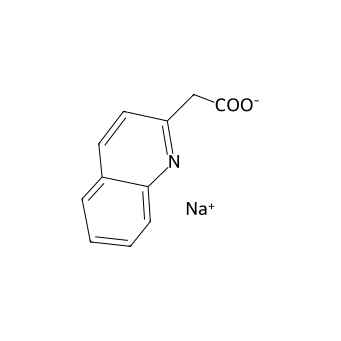 O=C([O-])Cc1ccc2ccccc2n1.[Na+]